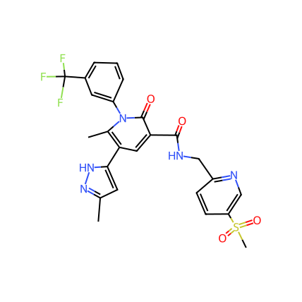 Cc1cc(-c2cc(C(=O)NCc3ccc(S(C)(=O)=O)cn3)c(=O)n(-c3cccc(C(F)(F)F)c3)c2C)[nH]n1